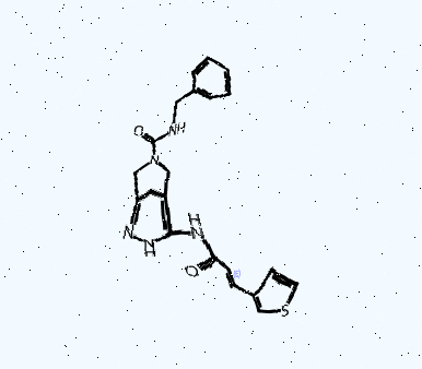 O=C(/C=C/c1ccsc1)Nc1[nH]nc2c1CN(C(=O)NCc1ccccc1)C2